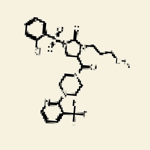 CCCCN1C(=O)N(S(=O)(=O)c2ccccc2Cl)CC1C(=O)N1CCN(c2ncccc2C(F)(F)F)CC1